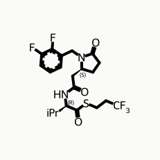 CC(C)[C@@H](NC(=O)C[C@@H]1CCC(=O)N1Cc1cccc(F)c1F)C(=O)SCCC(F)(F)F